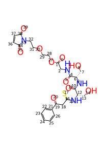 O=C(CNC(=O)[C@H](CO)NC(=O)[C@H](CO)NC(=S)CC(=O)c1ccccc1)OCCOCCN1C(=O)C=CC1=O